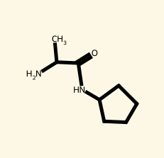 CC(N)C(=O)NC1CCCC1